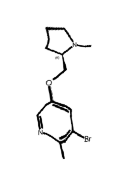 Cc1ncc(OC[C@H]2CCCN2C)cc1Br